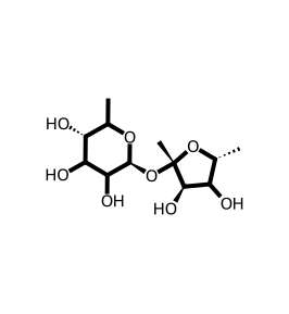 CC1O[C@@H](O[C@]2(C)O[C@H](C)C(O)[C@H]2O)C(O)C(O)[C@@H]1O